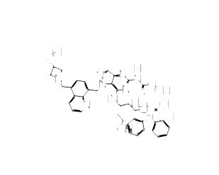 CCC[C@@H](CCO[Si](c1ccccc1)(c1ccccc1)C(C)(C)C)Nc1nc(NC(=O)OC)nc2cnn(Cc3ccc(CN4CC(OC)C4)c4cccnc34)c12